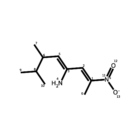 C/C(=C\C(N)=C\C(C)C(C)C)[N+](=O)[O-]